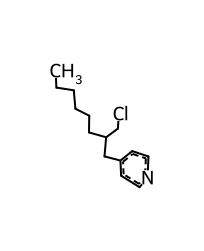 CCCCCCC(CCl)Cc1ccncc1